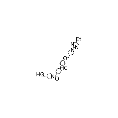 CCc1cnc(N2CCC(COc3ccc(C4=CCC(C(=O)N5CCC(CO)CC5)CC4)cc3)CC2)nc1.Cl